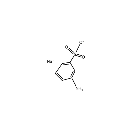 Nc1cccc(S(=O)(=O)[O-])c1.[Na+]